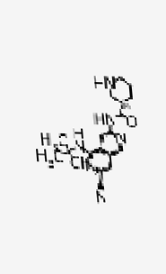 CC(C)(C)Nc1nc(C#N)cc2cnc(NC(=O)[C@@H]3CCCNC3)cc12